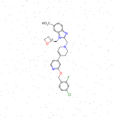 O=C(O)c1ccc2nc(CN3CC=C(c4ccnc(OCc5ccc(Cl)cc5F)c4)CC3)n(C[C@@H]3CCO3)c2c1